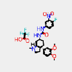 COc1ccc([C@@]23CC[C@@H](NC(=O)Nc4ccc(F)c([N+](=O)[O-])c4)C[C@@H]2N(C)CC3)cc1OC.O=C(O)C(F)(F)F